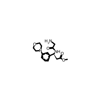 COC(=O)C[C@H](NC(=O)CN)c1cccc(N2CCOCC2)c1